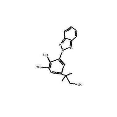 CC(C)(C)CC(C)(C)c1cc(O)c(O)c(-n2nc3ccccc3n2)c1